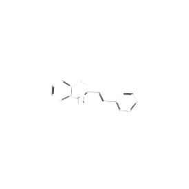 [c]1ccc2sc(/C=C/c3ccccc3)nc2c1